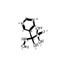 O=P(O)(O)C(O)(PO)c1cncnc1